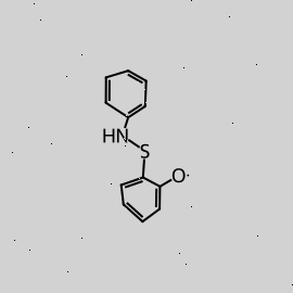 [O]c1ccccc1SNc1ccccc1